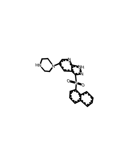 O=S(=O)(c1cccc2ccccc12)c1n[nH]c2ncc(N3CCNCC3)cc12